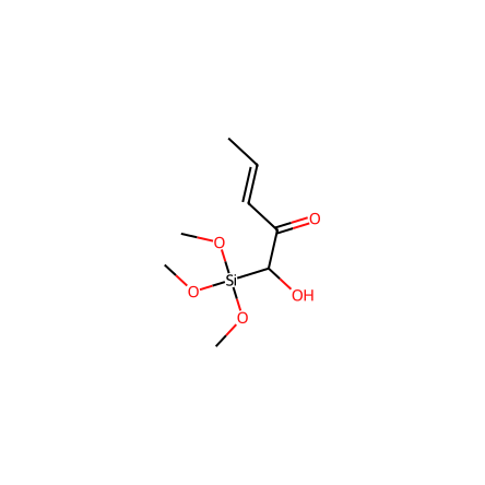 CC=CC(=O)C(O)[Si](OC)(OC)OC